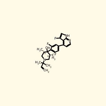 C=CC(C)(C)N1C[C@@H](C)C(O)(c2c(F)cc(-c3ccnc4[nH]cc(F)c34)cc2F)[C@@H](C)C1